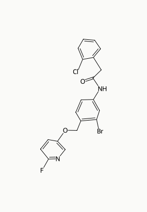 O=C(Cc1ccccc1Cl)Nc1ccc(COc2ccc(F)nc2)c(Br)c1